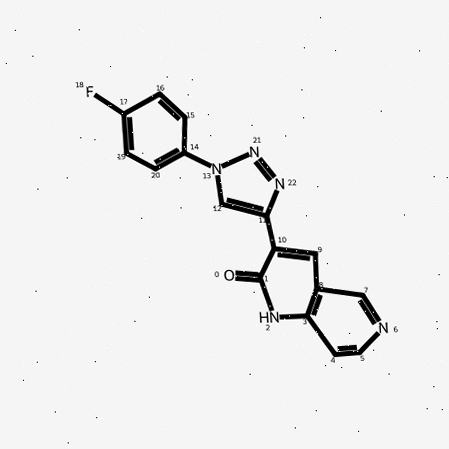 O=c1[nH]c2ccncc2cc1-c1cn(-c2ccc(F)cc2)nn1